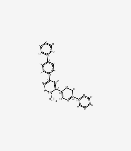 CN1CN=C(c2ccc(-c3ccccc3)cc2)N=C1C1=CC=C(c2ccccc2)CC1